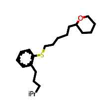 CC(C)CCCc1ccccc1SCCCCCC1CCCCO1